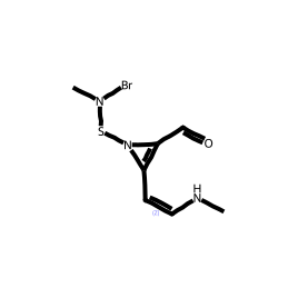 CN/C=C\C1=C(C=O)N1SN(C)Br